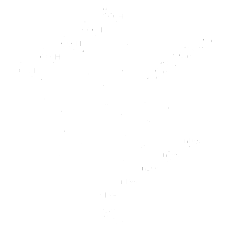 CCCCCCCCCCCCCCCCCC(=O)O.CCCCCCCCCCCCCCCCCC(=O)O.CCCCCCCCCCCCCCCCCC(=O)O.CCCCCCCCCCCCCCCCCC(=O)O.CCCCCCCCCCCCCCCCCC(=O)O.[Ca+2].[Ca+2].[Ca+2].[Ca+2].[Ca+2].[Ca+2].[Ca+2]